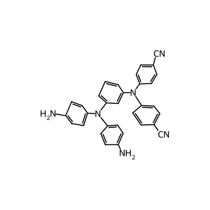 N#Cc1ccc(N(c2ccc(C#N)cc2)c2cccc(N(c3ccc(N)cc3)c3ccc(N)cc3)c2)cc1